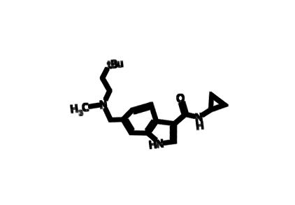 CN(CCC(C)(C)C)Cc1ccc2c(C(=O)NC3CC3)c[nH]c2c1